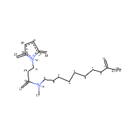 C=C(CCCCCCCCN(C)C(=C)CCn1c(=C)ccc1=C)C(C)C